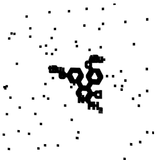 CC(C)(C)Oc1cccc(-c2cnc(P)c(Cl)c2-c2cccc(OC(C)(C)C)c2)c1